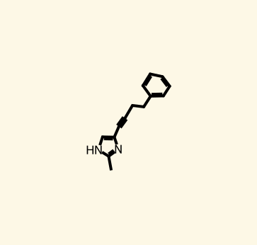 Cc1nc(C#CCCc2ccccc2)c[nH]1